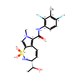 CC(O)[C@H]1C=Cc2c(cn(C)c2C(=O)Nc2ccc(F)c(C#N)c2F)S(=O)(=O)N1